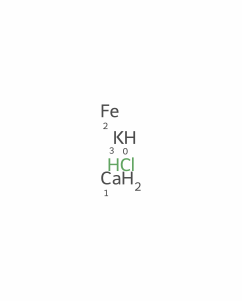 Cl.[CaH2].[Fe].[KH]